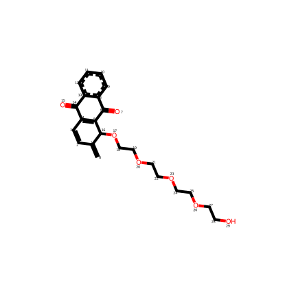 C=C1C=CC2=C(C(=O)c3ccccc3C2=O)C1OCCOCCOCCOCCO